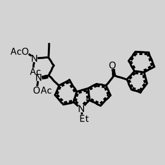 CCn1c2ccc(C(=O)c3cccc4ccccc34)cc2c2cc(C(CC(C)N(OC(C)=O)C(C)=O)=NOC(C)=O)ccc21